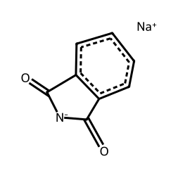 O=C1[N-]C(=O)c2ccccc21.[Na+]